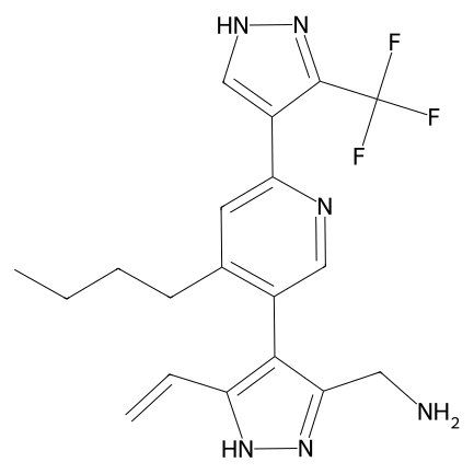 C=Cc1[nH]nc(CN)c1-c1cnc(-c2c[nH]nc2C(F)(F)F)cc1CCCC